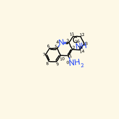 Nc1c2c(nc3ccccc13)C1CCC2NC1